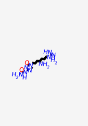 N=C(N)NCCC[C@H](N)CCCn1cnc(NC(N)=O)nc1=O